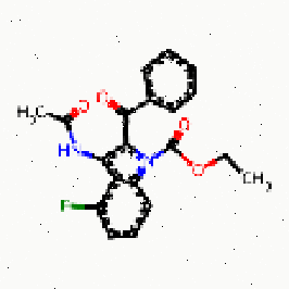 CCOC(=O)n1c(C(=O)c2ccccc2)c(NC(C)=O)c2c(F)cccc21